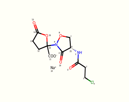 O=C(CCCl)N[C@H]1CON(C2(C(=O)[O-])CCC(=O)O2)C1=O.[Na+]